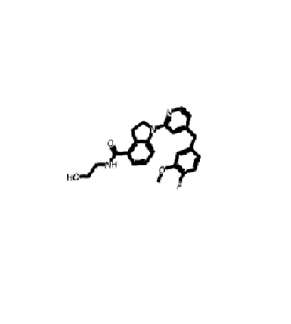 COc1cc(Cc2ccnc(N3CCc4c(C(=O)NCCO)cccc43)c2)ccc1F